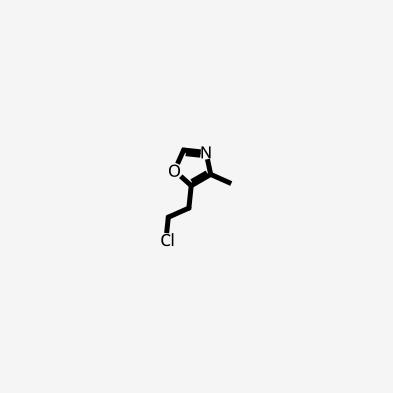 Cc1ncoc1CCCl